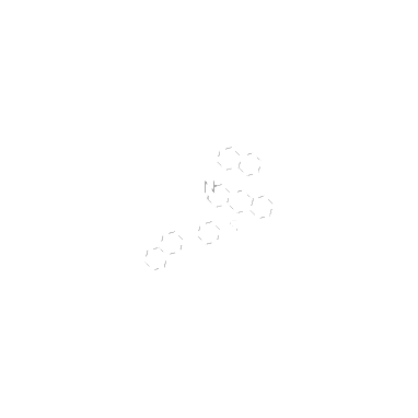 c1ccc2cc(-c3ccc(Sc4c5ccccc5c(-c5cccc6ccccc56)c5cnccc45)cc3)ccc2c1